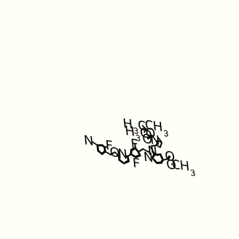 COC(=O)c1ccc2nc(Cc3cc(F)c(-c4cccc(OCc5ccc(C#N)cc5F)n4)cc3F)n(CC34CC(CN3C(=O)OC(C)(C)C)C4)c2c1